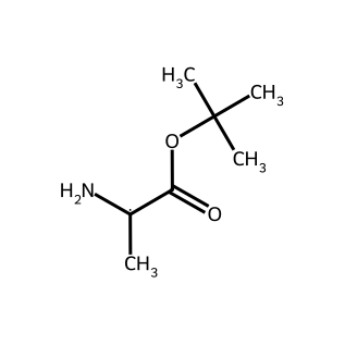 C[C](N)C(=O)OC(C)(C)C